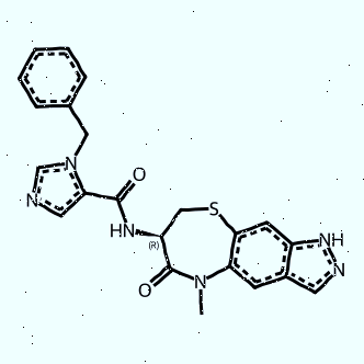 CN1C(=O)[C@@H](NC(=O)c2cncn2Cc2ccccc2)CSc2cc3[nH]ncc3cc21